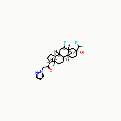 C[C@]12CC[C@@H]3[C@H]4CC[C@](O)(C(F)F)C[C@H]4[C@H](F)C[C@H]3[C@@H]1CC[C@@H]2C(=O)Cn1cccn1